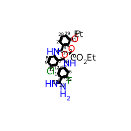 CCOC(=O)COc1c(CNc2ccc(Cl)cc2C(=O)Nc2ccc(C(=N)N)c(F)c2)cccc1OCC